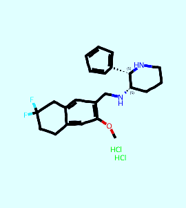 COc1cc2c(cc1CN[C@H]1CCCN[C@H]1c1ccccc1)CC(F)(F)CC2.Cl.Cl